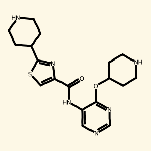 O=C(Nc1cncnc1OC1CCNCC1)c1csc(C2CCNCC2)n1